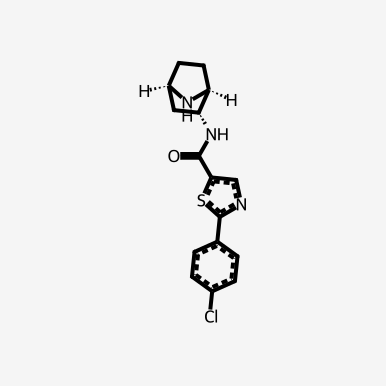 O=C(N[C@@H]1C[C@H]2CC[C@@H]1N2)c1cnc(-c2ccc(Cl)cc2)s1